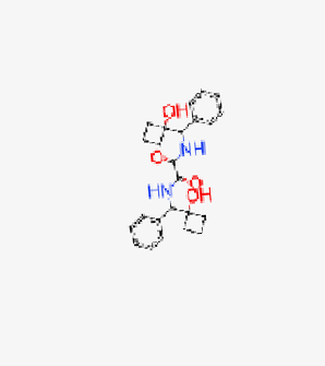 O=C(NC(c1ccccc1)C1(O)CCC1)C(=O)NC(c1ccccc1)C1(O)CCC1